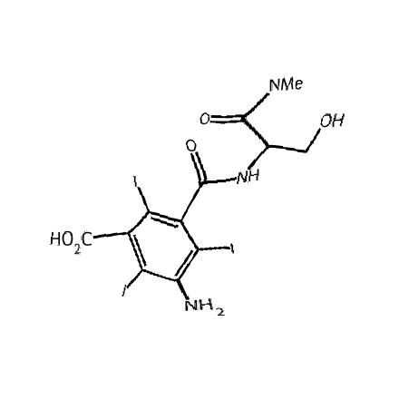 CNC(=O)C(CO)NC(=O)c1c(I)c(N)c(I)c(C(=O)O)c1I